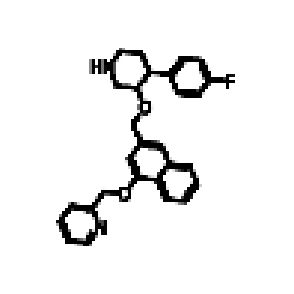 Fc1ccc(C2CCNCC2OCc2cc(OCc3ccccn3)c3ccccc3c2)cc1